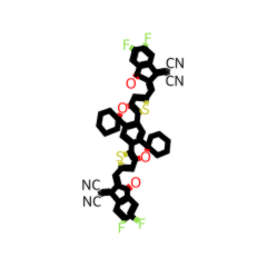 N#CC(C#N)=C1/C(=C/c2cc3c(s2)-c2cc4c(cc2C2(CCCCC2)O3)-c2sc(/C=C3\C(=O)c5cc(F)c(F)cc5C3=C(C#N)C#N)cc2OC42CCCCC2)C(=O)c2cc(F)c(F)cc21